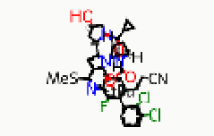 CSc1nc2c(F)c(-c3cccc(Cl)c3Cl)c(CCC#N)cc2c2c1cc([C@H]1C[C@H](O)CN1C(=O)C1CC1)n2[C@H]1[C@@H]2C[C@H]1N(C(=O)OC(C)(C)C)C2